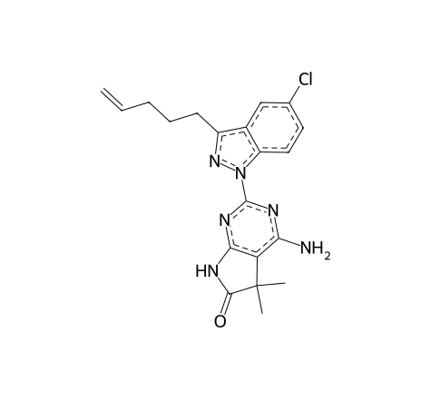 C=CCCCc1nn(-c2nc(N)c3c(n2)NC(=O)C3(C)C)c2ccc(Cl)cc12